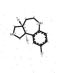 Clc1ccc2c(c1)[C@H]1CNC[C@@H]1CCN2